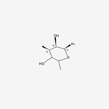 CC(=O)[C@H]1OC(C)C(O)[C@@H](C)[C@H]1O